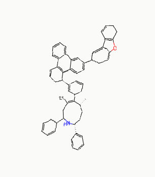 CC/C1=C(\C2C=C(C3CC=Cc4c3c3ccc(C5C=c6c7c(oc6=CC5)CCC=C7)cc3c3ccccc43)C=CC2)[C@H](C)CC[C@H](c2ccccc2)NC(C2C=CC=CC2)C1